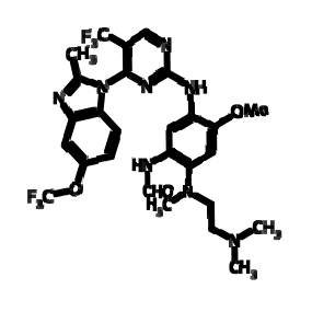 COc1cc(N(C)CCN(C)C)c(NC=O)cc1Nc1ncc(C(F)(F)F)c(-n2c(C)nc3cc(OC(F)(F)F)ccc32)n1